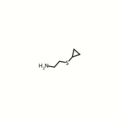 NCCSC1CC1